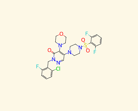 O=c1c(N2CCOCC2)c(N2CCN(S(=O)(=O)c3c(F)cccc3F)CC2)cnn1Cc1c(F)cccc1Cl